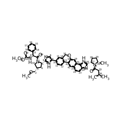 COC[C@H]1C[C@@H](c2ncc(-c3ccc4c(c3)COc3cc5c(ccc6nc([C@@H]7CC[C@H](C)N7C(=O)[CH]C(C)C)[nH]c65)cc3-4)[nH]2)N(C(=O)[C@H](NC(=O)OC)c2ccccc2)C1